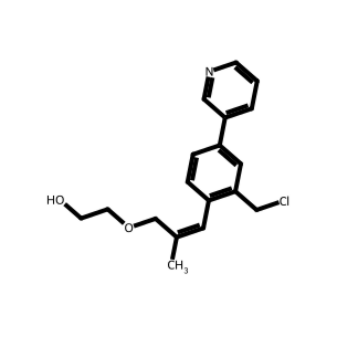 CC(=Cc1ccc(-c2cccnc2)cc1CCl)COCCO